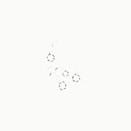 C[C@@H](c1ccccc1)C(c1ncc(-c2ccc(Cl)cc2F)[nH]1)N1C(=O)N[C@H](c2ccc(OCCO)cc2)C1=O